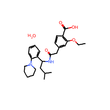 CCOc1cc(CC(=O)NC(CC(C)C)c2ccccc2N2CCCCC2)ccc1C(=O)O.O